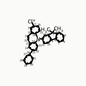 CC1(C)c2ccccc2-c2ccc(N3c4ccc(Cl)cc4C=Cc4cc(-c5ccccc5)ccc43)cc21